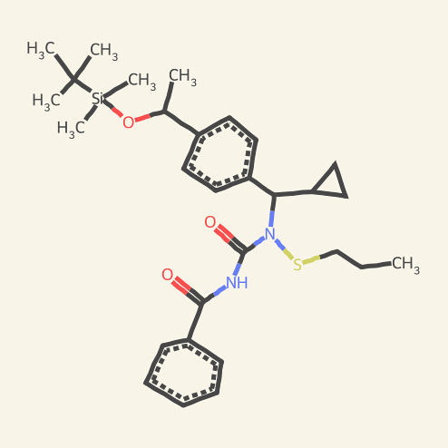 CCCSN(C(=O)NC(=O)c1ccccc1)C(c1ccc(C(C)O[Si](C)(C)C(C)(C)C)cc1)C1CC1